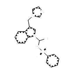 CC(NS(=O)(=O)c1ccccc1)n1cc(Cn2ccnc2)c2ccccc21